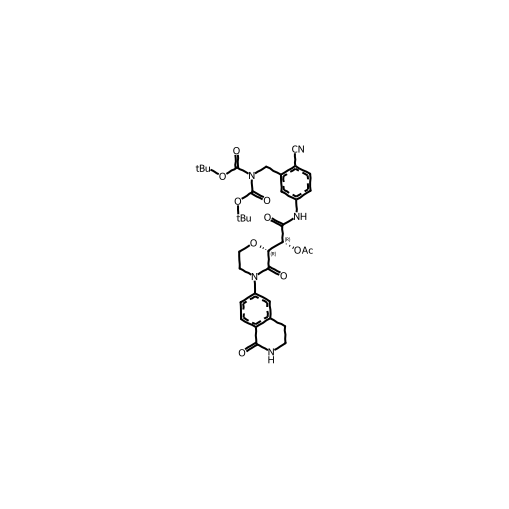 CC(=O)O[C@@H](C(=O)Nc1ccc(C#N)c(CN(C(=O)OC(C)(C)C)C(=O)OC(C)(C)C)c1)[C@H]1OCCN(c2ccc3c(c2)CCNC3=O)C1=O